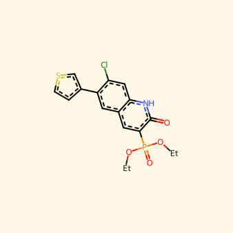 CCOP(=O)(OCC)c1cc2cc(-c3ccsc3)c(Cl)cc2[nH]c1=O